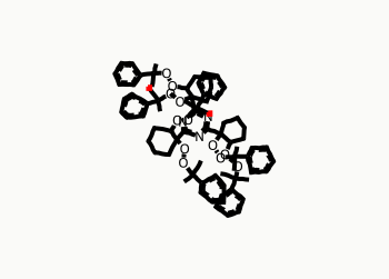 CC(C)(OOC1CCCCC1(OOC(C)(C)c1ccccc1)c1nc(C2(OOC(C)(C)c3ccccc3)CCCCC2OOC(C)(C)c2ccccc2)nc(C2(OOC(C)(C)c3ccccc3)CCCCC2OOC(C)(C)c2ccccc2)n1)c1ccccc1